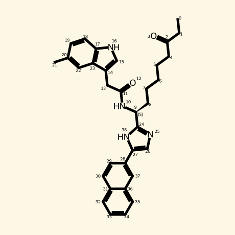 CCC(=O)CCCCC[C@H](NC(=O)Cc1c[nH]c2ccc(C)cc12)c1ncc(-c2ccc3ccccc3c2)[nH]1